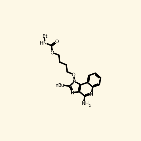 CCCCc1nc2c(N)nc3ccccc3c2n1OCCCCOC(=O)NCC